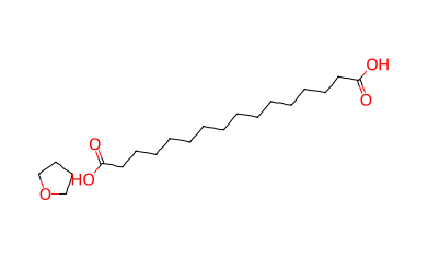 C1CCOC1.O=C(O)CCCCCCCCCCCCCCC(=O)O